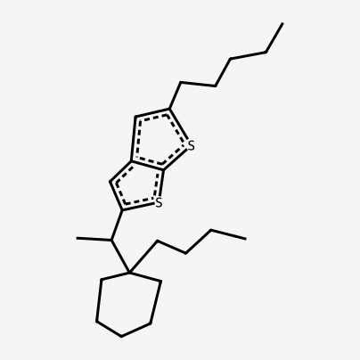 CCCCCc1cc2cc(C(C)C3(CCCC)CCCCC3)sc2s1